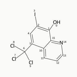 Oc1c(I)cc(C(Cl)(Cl)Cl)c2cccnc12